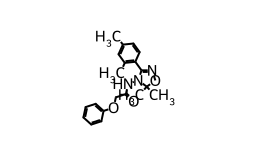 Cc1ccc(C2=NOC(C)(C)N2NC(=O)COc2ccccc2)c(C)c1